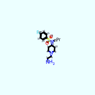 CCCN(C1CCN(CCN)CC1)S(=O)(=O)c1ccc(F)cc1